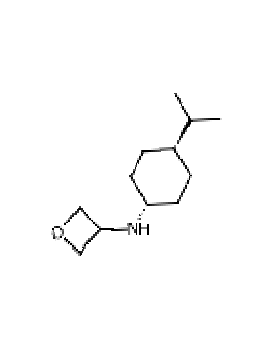 CC(C)[C@H]1CC[C@H](NC2COC2)CC1